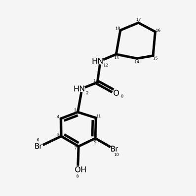 O=C(Nc1cc(Br)c(O)c(Br)c1)NC1CCCCC1